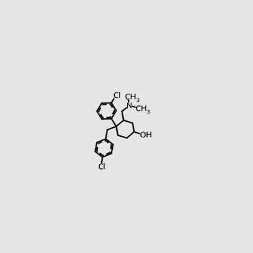 CN(C)CC1CC(O)CCC1(Cc1ccc(Cl)cc1)c1cccc(Cl)c1